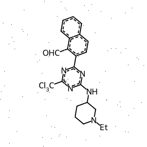 CCN1CCCC(Nc2nc(-c3ccc4ccccc4c3C=O)nc(C(Cl)(Cl)Cl)n2)C1